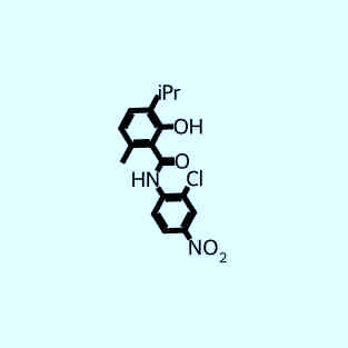 Cc1ccc(C(C)C)c(O)c1C(=O)Nc1ccc([N+](=O)[O-])cc1Cl